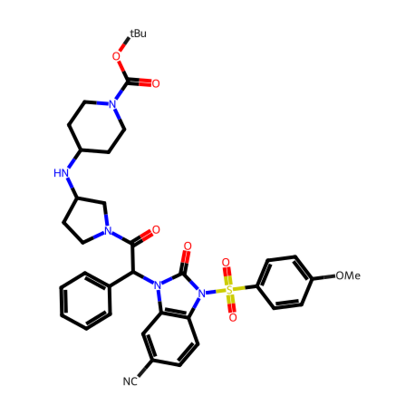 COc1ccc(S(=O)(=O)n2c(=O)n(C(C(=O)N3CCC(NC4CCN(C(=O)OC(C)(C)C)CC4)C3)c3ccccc3)c3cc(C#N)ccc32)cc1